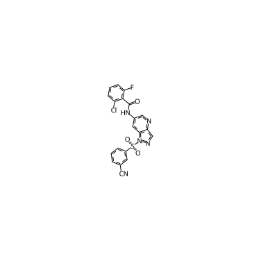 N#Cc1cccc(S(=O)(=O)n2ncc3ncc(NC(=O)c4c(F)cccc4Cl)cc32)c1